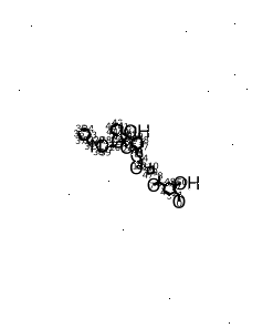 O=Cc1ccc(C(=O)C[C@H]2C[C@H](C(=O)COc3cccc([C@](O)(C(=O)OCC4CCN(Cc5ccccc5)CC4)c4ccccc4)c3)C2)cc1O